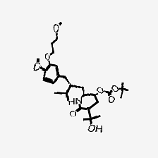 COCCCOc1cc(C[C@@H](C[C@@H]2NC(=O)C(C(C)(C)O)C[C@@H]2OC(=O)OC(C)(C)C)C(C)C)ccc1OC